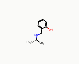 C[C@@H](NCc1ccccc1O)C(=O)O